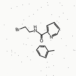 Cc1ccccc1.O=C(NCCBr)c1ccccn1